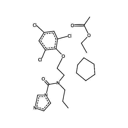 C1CCCCC1.CCCN(CCOc1c(Cl)cc(Cl)cc1Cl)C(=O)n1ccnc1.CCOC(C)=O